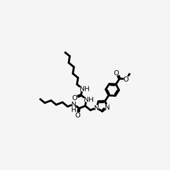 CCCCCCCNC(=O)NC(Cn1cnc(-c2ccc(C(=O)OC)cc2)c1)C(=O)NCCCCCC